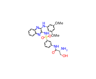 COc1cc(Nc2nc3ccccc3nc2NS(=O)(=O)c2cccc(NC(=O)[C@H](N)CO)c2)cc(OC)c1